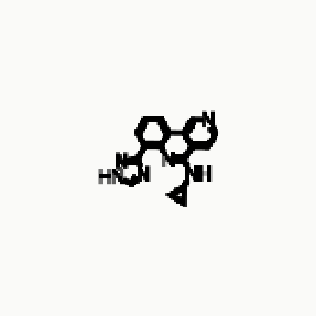 c1cc(-c2nc[nH]n2)c2nc(NC3CC3)c3ccncc3c2c1